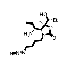 C=C[C@@H](N)[C@H]1N(CCCCN=[N+]=[N-])C(=O)O[C@]1(C)[C@H](O)CC